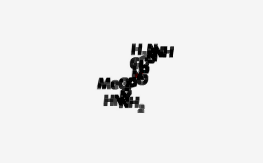 COc1cc(NC(=O)c2ccc(C3=CCN(C(=N)N)CC3)c(Cl)c2)ccc1C1=CCN(C(=N)N)CC1